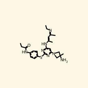 CC/N=C(C)\C=C(/C)Nc1cc(N2CC(C)(N)C2)nc(Sc2ccc(NC(=O)CC)cc2)n1